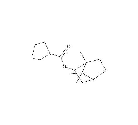 CC1(C)C2CCC1(C)C(OC(=O)N1CCCC1)C2